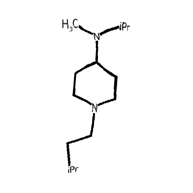 CC(C)CCN1CCC(N(C)C(C)C)CC1